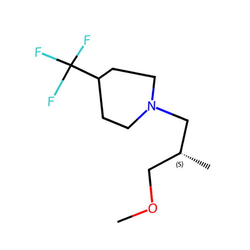 COC[C@@H](C)CN1CCC(C(F)(F)F)CC1